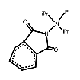 CC(C)[Si](C(C)C)(C(C)C)N1C(=O)c2ccccc2C1=O